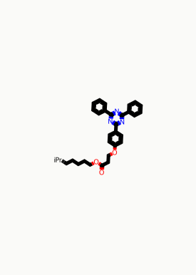 CC(C)CCCCCOC(=O)CCOc1ccc(-c2nc(-c3ccccc3)nc(-c3ccccc3)n2)cc1